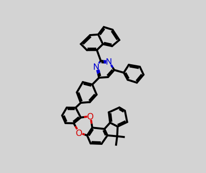 CC1(C)c2ccccc2-c2c1ccc1c2Oc2c(cccc2-c2ccc(-c3cc(-c4ccccc4)nc(-c4cccc5ccccc45)n3)cc2)O1